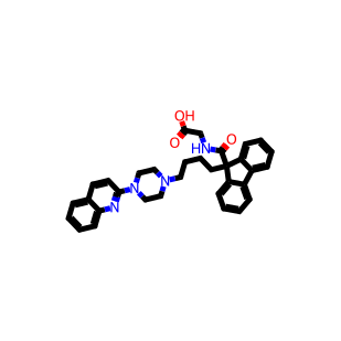 O=C(O)CNC(=O)C1(CCCCN2CCN(c3ccc4ccccc4n3)CC2)c2ccccc2-c2ccccc21